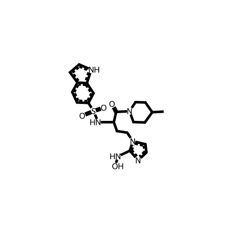 CC1CCN(C(=O)C(CCn2ccnc2NO)NS(=O)(=O)c2ccc3cc[nH]c3c2)CC1